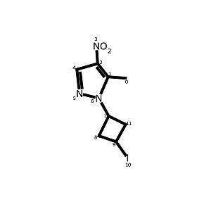 Cc1c([N+](=O)[O-])cnn1C1CC(I)C1